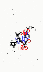 CCOC(=O)N1CCN(C(=O)C(CCC(=O)O)NC(=O)c2cc(C3CC3CO)nc(-c3ccccc3)n2)CC1